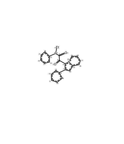 CCN(C(=O)C(=O)c1c(-c2ccccc2)cc2ccccn12)c1ccccc1